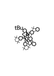 CC(C)(C)c1ccc(N2B3c4sc5cc6c(cc5c4N(c4ccc5c(c4)C(C)(C)CCC5(C)C)c4c3c(cc3c4oc4ccccc43)-c3cc4c(cc32)C(C)(C)c2ccccc2-4)C(C)(C)CCC6(C)C)cc1